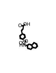 O=C(O)C=Cc1ccc(S(=O)(=O)Nc2ccc3ccccc3c2)cc1